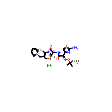 Br.CC(C)(O/N=C(/C(=O)N[C@@H]1C(=O)N2C(C(=O)[O-])=C(C[n+]3ccccc3)CS[C@H]12)c1csc(N)n1)C(=O)O